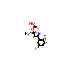 CC1(OC(=O)O)CC(c2cc(Br)ccc2F)=NO1